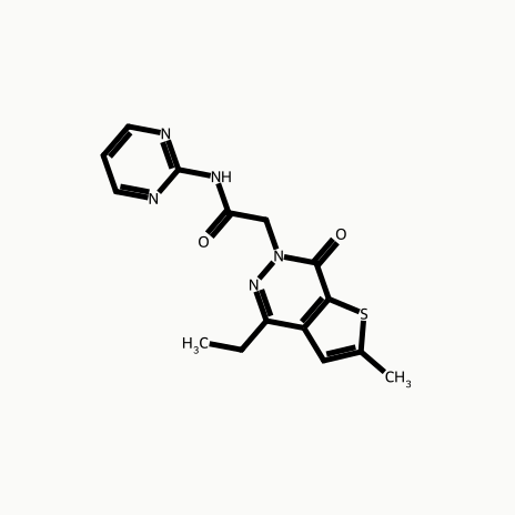 CCc1nn(CC(=O)Nc2ncccn2)c(=O)c2sc(C)cc12